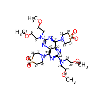 COCCN(CCOC)c1nc(N2CCS(=O)(=O)CC2)c2nc(N(CCOC)CCOC)nc(N3CCS(=O)(=O)CC3)c2n1